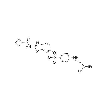 CC(C)N(CCNc1ccc(S(=O)(=O)Oc2ccc3nc(NC(=O)C4CCC4)sc3c2)cc1)C(C)C